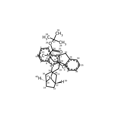 Cc1nc2ccccc2n1C1C[C@@H]2CC[C@@H](C1)N2CCC1(CN(C)C(=O)OC(C)(C)C)CCc2ccccc21